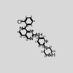 Clc1ccccc1-c1nccc2cnc(Nc3ccc(N4CCNCC4)nc3)nc12